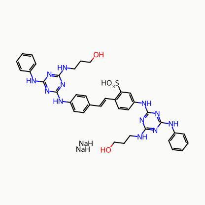 O=S(=O)(O)c1cc(Nc2nc(NCCCO)nc(Nc3ccccc3)n2)ccc1C=Cc1ccc(Nc2nc(NCCCO)nc(Nc3ccccc3)n2)cc1.[NaH].[NaH]